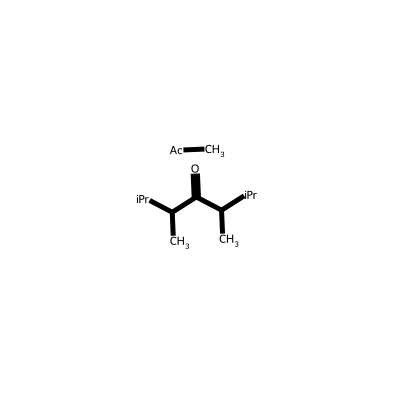 CC(C)=O.CC(C)C(C)C(=O)C(C)C(C)C